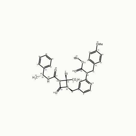 CC[C@@]1(C(=O)O)[C@@H](Cc2ccnc(N(Cc3ccc(OC)cc3)C(=O)OC(C)(C)C)c2)C(=O)N1C(=O)N[C@H](C)c1ccccc1